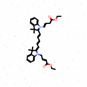 CCOC(=O)/C=C/CN1/C(=C/C=C/C=C/C2=[N+](/C=C/CC(=O)OCC)c3ccccc3C2(C)C)C(C)(C)c2ccccc21